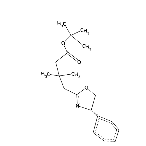 CC(C)(CC(=O)OC(C)(C)C)CC1=N[C@@H](c2ccccc2)CO1